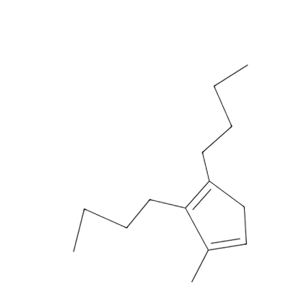 CCCCC1=C(CCCC)C(C)=CC1